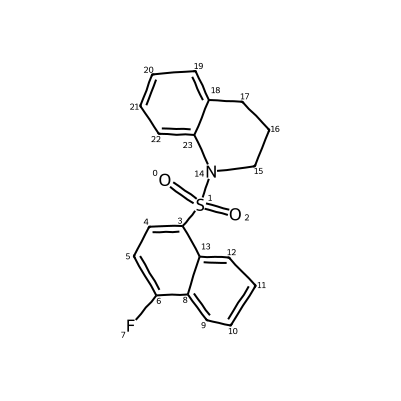 O=S(=O)(c1ccc(F)c2ccccc12)N1CCCc2ccccc21